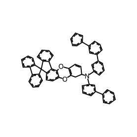 C1=CC(N(c2cccc(-c3ccccc3)c2)c2cccc(-c3cccc(-c4ccccc4)c3)c2)CC2=C1Oc1c(ccc3c1-c1ccccc1C31c3ccccc3-c3ccccc31)O2